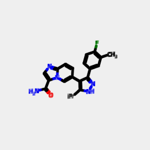 Cc1cc(-c2n[nH]c(C(C)C)c2-c2ccc3ncc(C(N)=O)n3c2)ccc1F